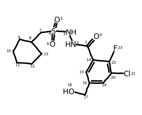 O=C(NNS(=O)(=O)CC1CCCCC1)c1cc(CO)cc(Cl)c1F